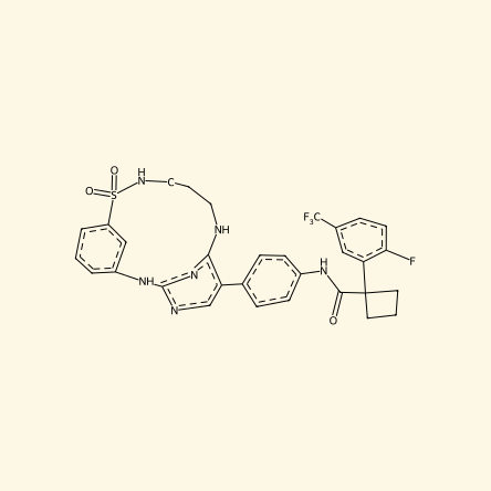 O=C(Nc1ccc(-c2cnc3nc2NCCCNS(=O)(=O)c2cccc(c2)N3)cc1)C1(c2cc(C(F)(F)F)ccc2F)CCC1